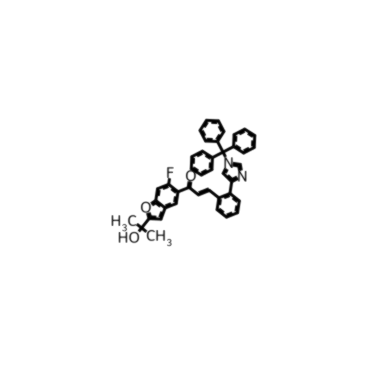 CC(C)(O)c1cc2cc(C(=O)C=Cc3ccccc3-c3cn(C(c4ccccc4)(c4ccccc4)c4ccccc4)cn3)c(F)cc2o1